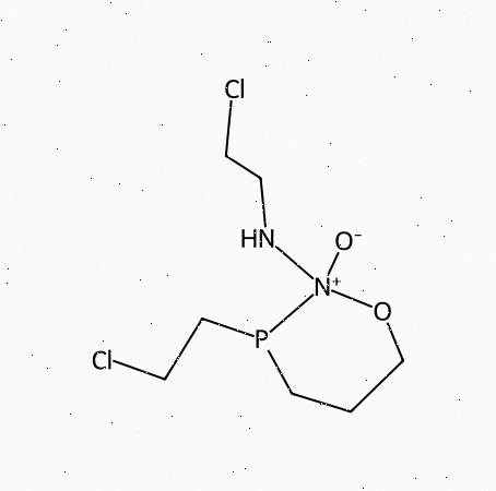 [O-][N+]1(NCCCl)OCCCP1CCCl